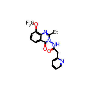 CCc1nc2c(OC(F)(F)F)cccc2c(=O)n1NC(=O)Cc1ccccn1